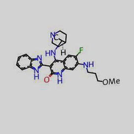 COCCCNc1cc2[nH]c(=O)c(-c3nc4ccccc4[nH]3)c(N[C@H]3CN4CCC3CC4)c2cc1F